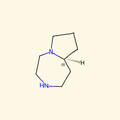 C1C[C@H]2CCNCCN2C1